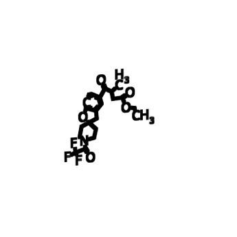 CCOC(=O)CC(C)C(=O)c1ccc2c(c1)CC1(CCN(C(=O)C(F)(F)F)CC1)O2